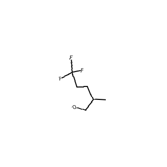 CC(C[O])CCC(F)(F)F